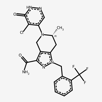 C[C@@H]1Cc2c(c(C(N)=O)nn2Cc2ccccc2C(F)(F)F)CN1c1cn[nH]c(=O)c1Cl